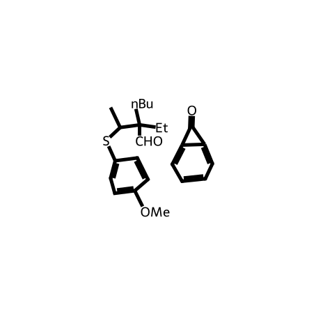 CCCCC(C=O)(CC)C(C)Sc1ccc(OC)cc1.O=c1c2ccccc12